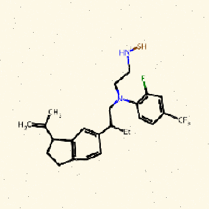 C=C(C)C1CCc2ccc(C(CC)CN(CCNS)c3ccc(C(F)(F)F)cc3F)cc21